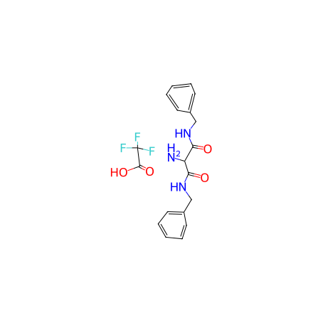 NC(C(=O)NCc1ccccc1)C(=O)NCc1ccccc1.O=C(O)C(F)(F)F